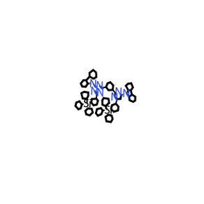 c1ccc([Si](c2ccccc2)(c2ccccc2)c2cccc(-c3cc(-n4c5ccccc5c5ccccc54)nc(-c4cccc(-c5nc(-c6cccc([Si](c7ccccc7)(c7ccccc7)c7ccccc7)c6)nc(-n6c7ccccc7c7ccccc76)n5)c4)n3)c2)cc1